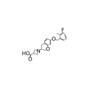 Cc1c(F)cccc1COc1ccc2c(c1)OCC(N1CC(C(=O)O)C1)C2